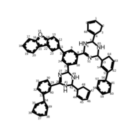 C1=CCCC(C2NC(c3cc(-c4ccc5oc6ccccc6c5c4)cc(C4N=C(c5cccc(-c6ccccc6)c5)NC(C5C=CC=CC5)N4)c3)=NC(C3C=C(c4ccccc4)C=CC3)N2)=C1